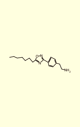 CCCCCCCc1nc(-c2ccc(CCN)cc2)no1